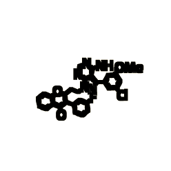 COc1cc(Cl)cc(-c2nn(CCc3oc4ccccc4c(=O)c3-c3cccc(F)c3)c3ncnc(N)c23)c1